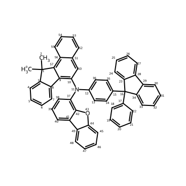 CC1(C)c2ccccc2-c2c(N(c3ccc(C4(c5ccccc5)c5ccccc5-c5ccccc54)cc3)c3cccc4c3oc3ccccc34)cc3ccccc3c21